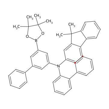 CC1(C)c2ccccc2-c2ccc(N(c3cc(B4OC(C)(C)C(C)(C)O4)cc(-c4ccccc4)c3)c3ccccc3-c3ccccc3)cc21